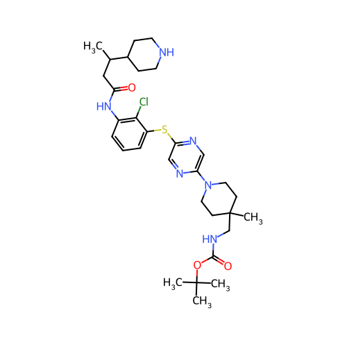 CC(CC(=O)Nc1cccc(Sc2cnc(N3CCC(C)(CNC(=O)OC(C)(C)C)CC3)cn2)c1Cl)C1CCNCC1